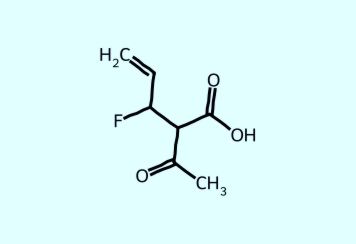 C=CC(F)C(C(C)=O)C(=O)O